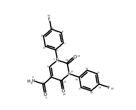 NC(=O)c1cn(-c2ccc(F)cc2)c(=O)n(-c2ccc(F)cc2)c1=O